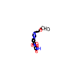 O=CCOCCC#CCN1CCN(c2ccc3c(c2)C(=O)N(C2CCC(=O)NC2=O)C3=O)CC1